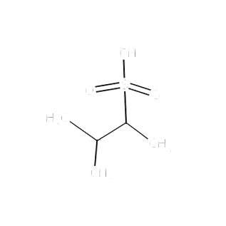 C[C](C)C(C)S(C)(=O)=O